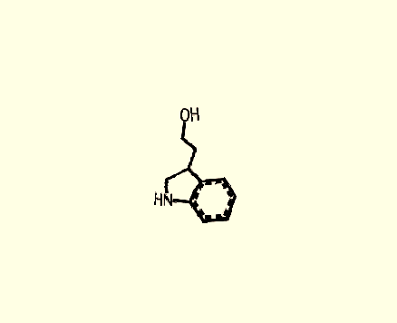 OCCC1CNc2ccccc21